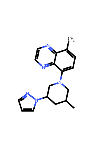 CC1CC(n2cccn2)CN(c2ccc(C(F)(F)F)c3nccnc23)C1